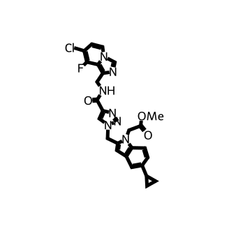 COC(=O)Cn1c(Cn2cc(C(=O)NCc3ncn4ccc(Cl)c(F)c34)nn2)cc2cc(C3CC3)ccc21